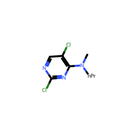 CCCN(C)c1nc(Cl)ncc1Cl